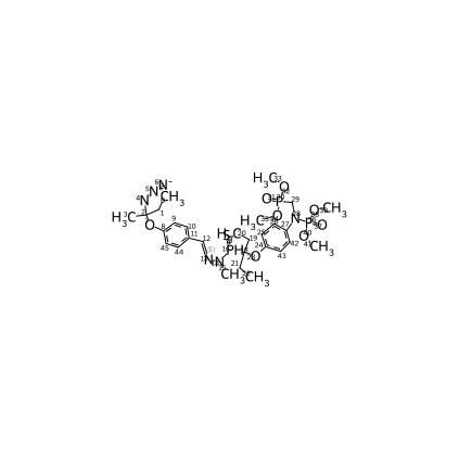 CCC(C)(N=[N+]=[N-])Oc1ccc(/C=N/N(C)[PH](=S)C(CC)(CC)Oc2ccc(N(CP(=O)(OC)OC)P(=O)(OC)OC)cc2)cc1